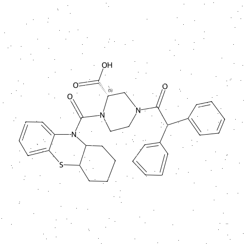 O=C(O)[C@@H]1CN(C(=O)C(c2ccccc2)c2ccccc2)CCN1C(=O)N1c2ccccc2SC2CCCCC21